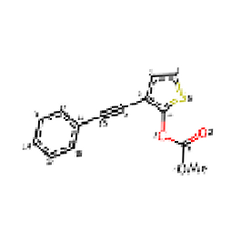 COC(=O)Oc1sccc1C#Cc1ccccc1